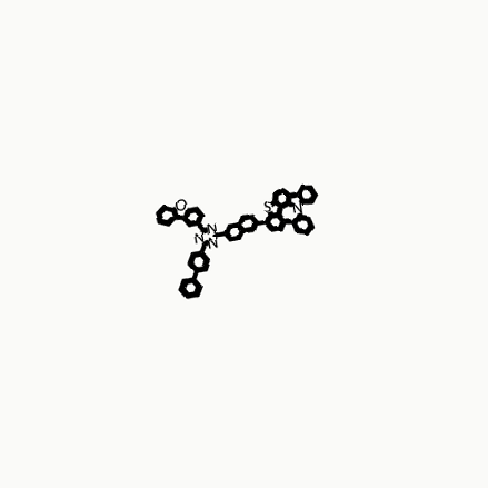 c1ccc(-c2ccc(-c3nc(-c4ccc5cc(-c6ccc7c8ccccc8n8c9ccccc9c9ccc%10sc6c7c%10c98)ccc5c4)nc(-c4ccc5oc6ccccc6c5c4)n3)cc2)cc1